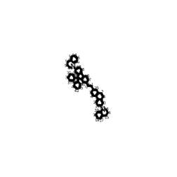 C(=C\c1ccc2c(ccc3cc(N4CCCc5ccccc54)ccc32)c1)/c1ccc2c(c1)C(c1ccccc1)(c1ccccc1)c1cc(N3CCCc4ccccc43)ccc1-2